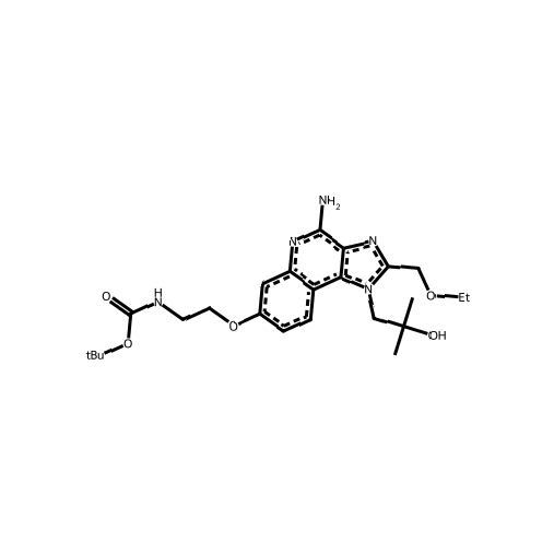 CCOCc1nc2c(N)nc3cc(OCCNC(=O)OC(C)(C)C)ccc3c2n1CC(C)(C)O